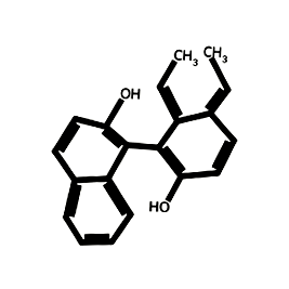 C/C=c1/ccc(O)c(-c2c(O)ccc3ccccc23)/c1=C/C